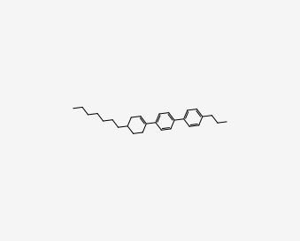 CCCCCCCC1CC=C(c2ccc(-c3ccc(CCC)cc3)cc2)CC1